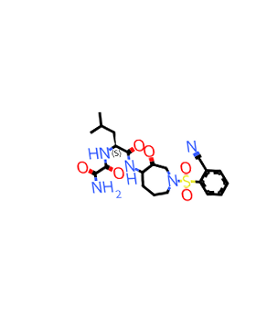 CC(C)C[C@H](NC(=O)C(N)=O)C(=O)NC1CCCN(S(=O)(=O)c2ccccc2C#N)CC1=O